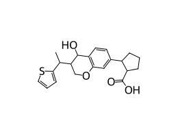 CC(c1cccs1)C1COc2cc(C3CCCC3C(=O)O)ccc2C1O